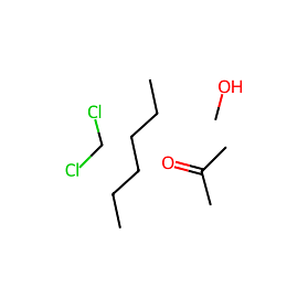 CC(C)=O.CCCCCC.CO.ClCCl